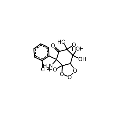 NC1(c2ccccc2Cl)C(=O)C(O)(O)C(O)(O)C2OOOC21O